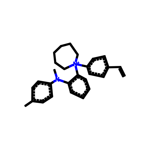 C=Cc1ccc([N+]2(c3ccccc3N(C)c3ccc(C)cc3)CCCCCC2)cc1